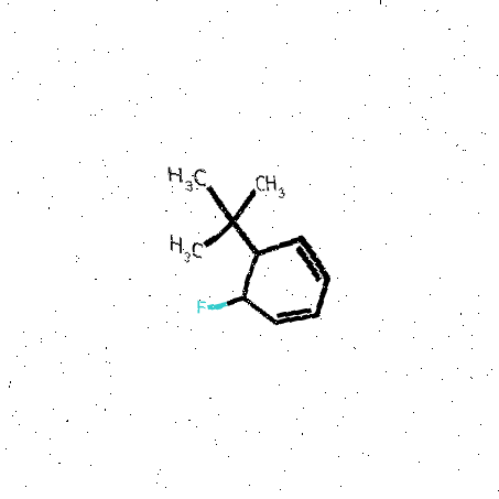 CC(C)(C)C1C=CC=CC1F